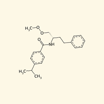 COOC[C@H](CCc1ccccc1)NC(=O)c1ccc(C(C)C)cc1